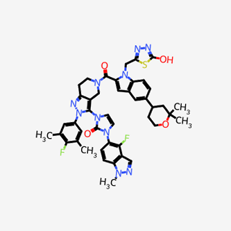 Cc1cc(-n2nc3c(c2-n2ccn(-c4ccc5c(cnn5C)c4F)c2=O)CN(C(=O)c2cc4cc(C5CCOC(C)(C)C5)ccc4n2Cc2nnc(O)s2)CC3)cc(C)c1F